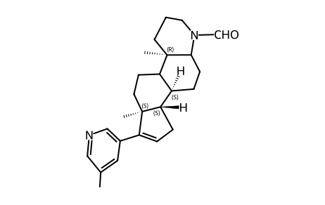 Cc1cncc(C2=CC[C@H]3[C@@H]4CCC5N(C=O)CCC[C@]5(C)C4CC[C@]23C)c1